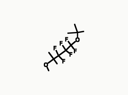 COC(C)(C)C(F)(F)C(F)(F)C(F)(F)OC(C)(C)C